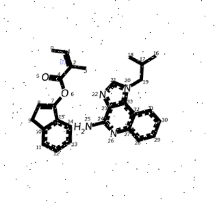 C/C=C(/C)C(=O)OC1=CCc2ccccc21.CC(C)Cn1cnc2c(N)nc3ccccc3c21